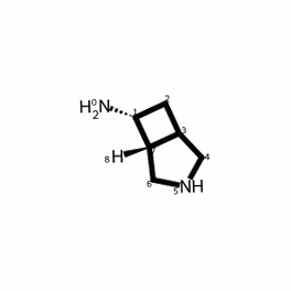 N[C@@H]1CC2CNC[C@@H]21